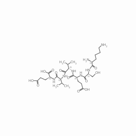 CC(C)[C@H](NC(=O)[C@H](CCC(=O)O)NC(=O)[C@H](CO)NC(=O)[C@@H](N)CCCCN)C(=O)N[C@H](C(=O)N[C@@H](CCC(=O)O)C(=O)O)C(C)C